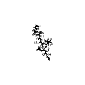 C=CCNC(=O)C(=O)C(CC1CC1)NC(=O)[C@@H]1[C@@H]2[C@H](CN1C(=O)[C@@H](NC(=O)N[C@H](CN(C)S(=O)(=O)c1cccs1)C(C)(C)C)C(C)(C)C)C2(C)C